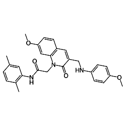 COc1ccc(NCc2cc3ccc(OC)cc3n(CC(=O)Nc3cc(C)ccc3C)c2=O)cc1